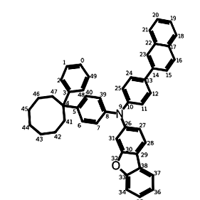 c1ccc(C2(c3ccc(N(c4ccc(-c5ccc6ccccc6c5)cc4)c4ccc5c(c4)oc4ccccc45)cc3)CCCCCCC2)cc1